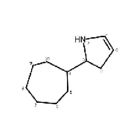 C1=CNC(C2CCCCCC2)C1